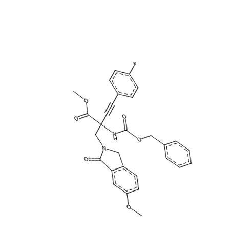 COC(=O)C(C#Cc1ccc(F)cc1)(CN1Cc2ccc(OC)cc2C1=O)NC(=O)OCc1ccccc1